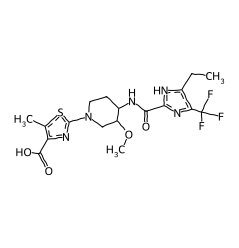 CCc1[nH]c(C(=O)NC2CCN(c3nc(C(=O)O)c(C)s3)CC2OC)nc1C(F)(F)F